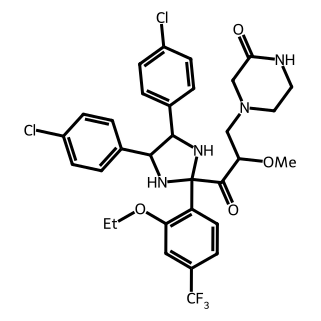 CCOc1cc(C(F)(F)F)ccc1C1(C(=O)C(CN2CCNC(=O)C2)OC)NC(c2ccc(Cl)cc2)C(c2ccc(Cl)cc2)N1